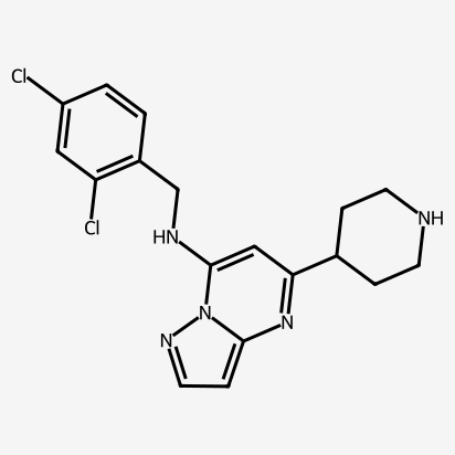 Clc1ccc(CNc2cc(C3CCNCC3)nc3ccnn23)c(Cl)c1